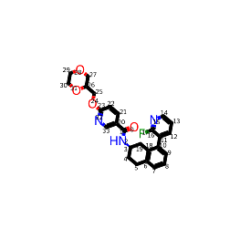 O=C(N[C@@H]1CCc2cccc(-c3cccnc3F)c2C1)c1ccc(OCC2COCCO2)nc1